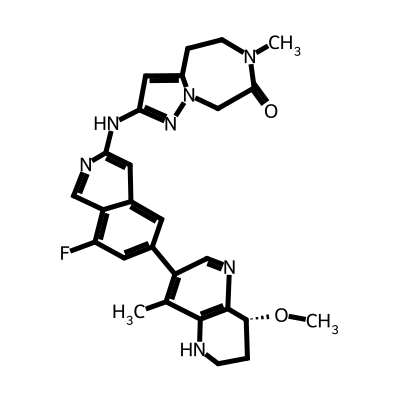 CO[C@@H]1CCNc2c1ncc(-c1cc(F)c3cnc(Nc4cc5n(n4)CC(=O)N(C)CC5)cc3c1)c2C